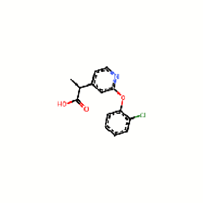 CC(C(=O)O)c1ccnc(Oc2ccccc2Cl)c1